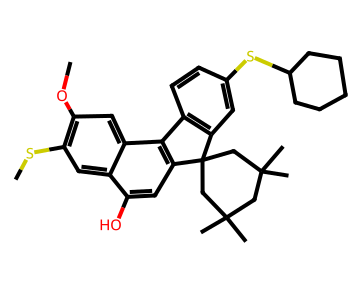 COc1cc2c3c(cc(O)c2cc1SC)C1(CC(C)(C)CC(C)(C)C1)c1cc(SC2CCCCC2)ccc1-3